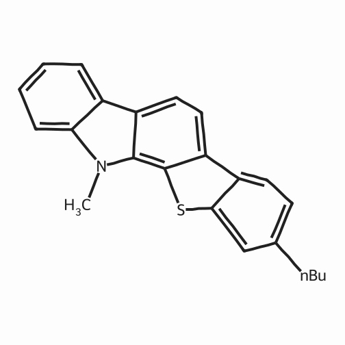 CCCCc1ccc2c(c1)sc1c2ccc2c3ccccc3n(C)c21